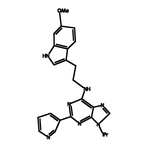 COc1ccc2c(CCNc3nc(-c4cccnc4)nc4c3ncn4C(C)C)c[nH]c2c1